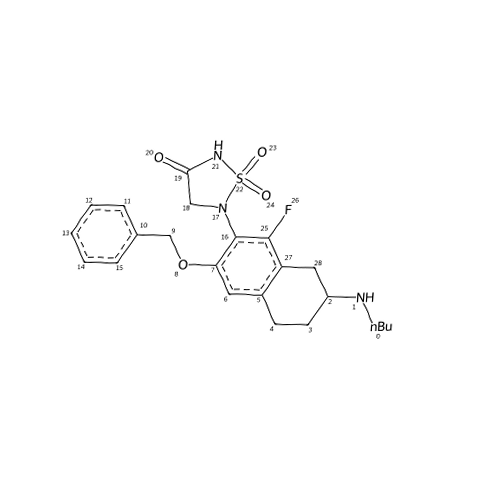 CCCCNC1CCc2cc(OCc3ccccc3)c(N3CC(=O)NS3(=O)=O)c(F)c2C1